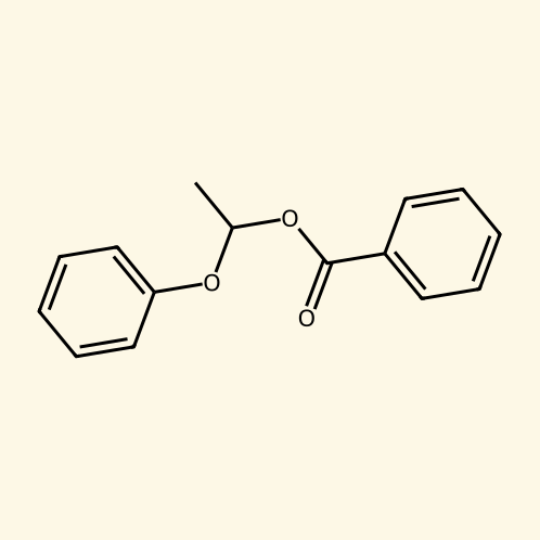 CC(OC(=O)c1ccccc1)Oc1ccccc1